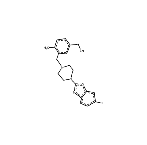 Cc1ccc(CC#N)cc1CN1CCN(c2nc3ccc(Cl)cc3s2)CC1